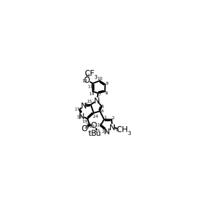 Cn1cc(-c2cn(-c3cccc(OC(F)(F)F)c3)c3ncnc(C(=O)OC(C)(C)C)c23)cn1